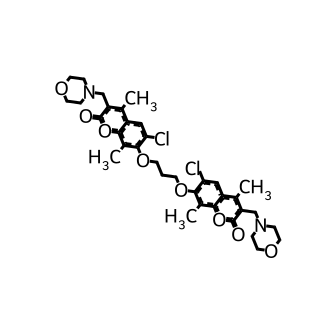 Cc1c(CN2CCOCC2)c(=O)oc2c(C)c(OCCCOc3c(Cl)cc4c(C)c(CN5CCOCC5)c(=O)oc4c3C)c(Cl)cc12